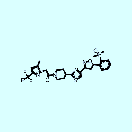 Cc1cc(C(F)(F)F)nn1CC(=O)N1CCC(c2nc(C3=NOC(c4ccccc4P(C)(C)=O)C3)cs2)CC1